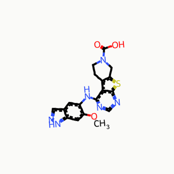 COc1cc2[nH]ncc2cc1Nc1ncnc2sc3c(c12)CCN(C(=O)O)C3